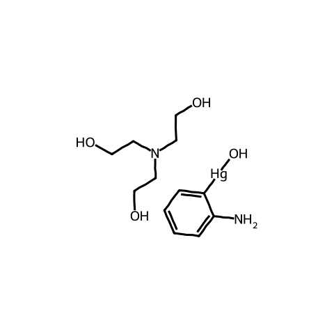 Nc1cccc[c]1[Hg][OH].OCCN(CCO)CCO